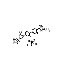 Cn1nnc(-c2ccc(-c3ccc(N4CC(C(O)(F)C(F)F)OC4=O)cc3F)cn2)n1.O=P(O)(O)O